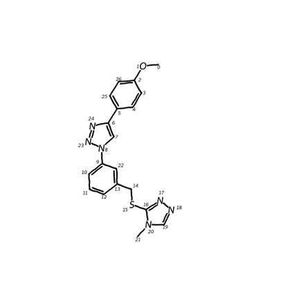 COc1ccc(-c2cn(-c3cccc(CSc4nncn4C)c3)nn2)cc1